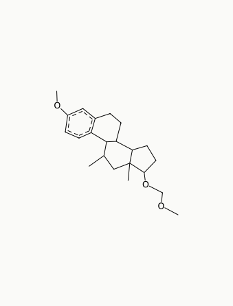 COCOC1CCC2C3CCc4cc(OC)ccc4C3C(C)CC12C